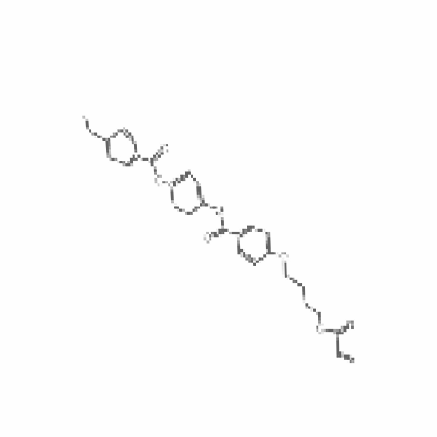 C=CC(=O)OCCCCOc1ccc(C(=O)OC2=CC=C(OC(=O)c3ccc(CC)cc3)CC2)cc1